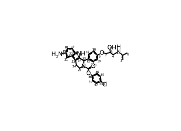 CC(C)NCC(O)COc1ccc(C2c3[nH]c4ccc(N)cc4c3CCN2C(=O)Oc2ccc(Cl)cc2)cc1